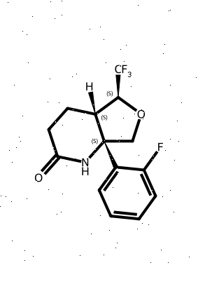 O=C1CC[C@@H]2[C@@H](C(F)(F)F)OC[C@]2(c2ccccc2F)N1